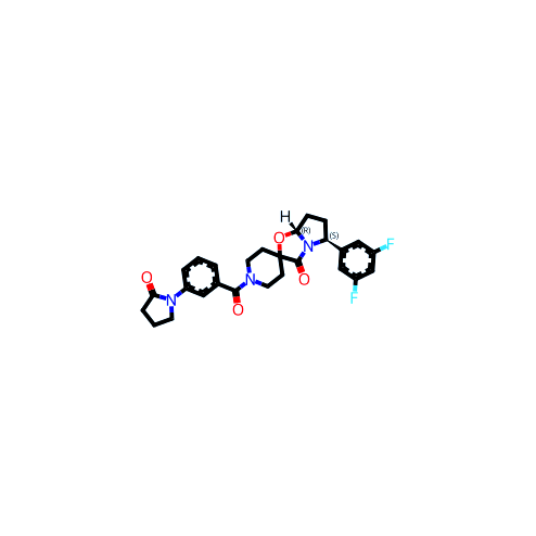 O=C(c1cccc(N2CCCC2=O)c1)N1CCC2(CC1)O[C@@H]1CC[C@@H](c3cc(F)cc(F)c3)N1C2=O